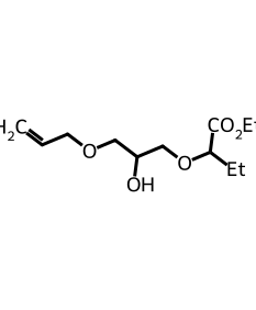 C=CCOCC(O)COC(CC)C(=O)OCC